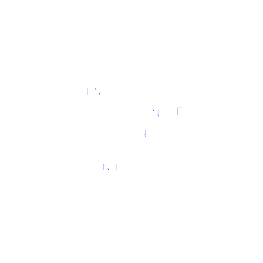 CCn1cc(N)c(C(N)=O)n1